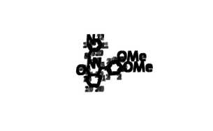 COc1ccc(C2=NN(Cc3cccnc3)C(=O)C3CC=CCC23)cc1OC